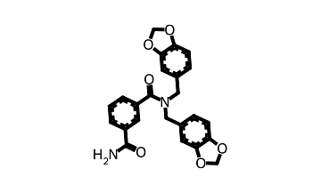 NC(=O)c1cccc(C(=O)N(Cc2ccc3c(c2)OCO3)Cc2ccc3c(c2)OCO3)c1